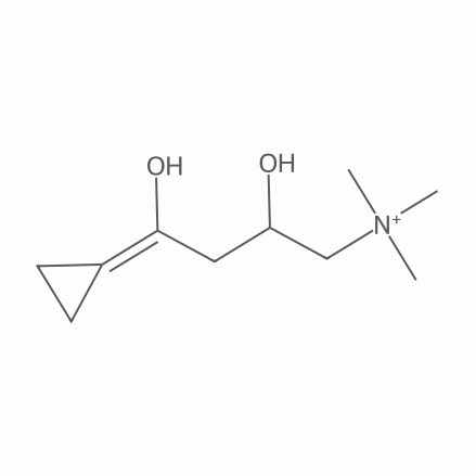 C[N+](C)(C)CC(O)CC(O)=C1CC1